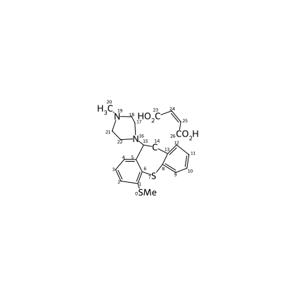 CSc1cccc2c1Sc1ccccc1CC2N1CCN(C)CC1.O=C(O)/C=C\C(=O)O